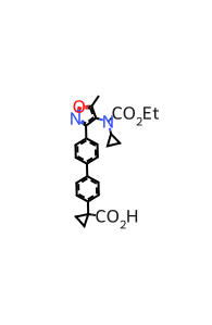 CCOC(=O)N(c1c(-c2ccc(-c3ccc(C4(C(=O)O)CC4)cc3)cc2)noc1C)C1CC1